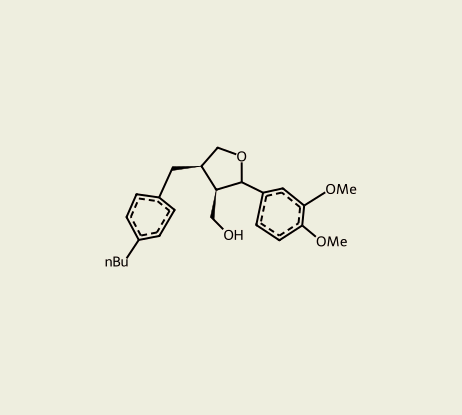 CCCCc1ccc(C[C@H]2COC(c3ccc(OC)c(OC)c3)[C@H]2CO)cc1